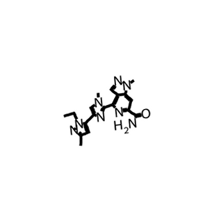 CCn1nc(C)cc1-c1cn(C)c(-c2nc(C(N)=O)cc3c2cnn3C)n1